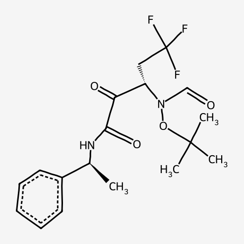 C[C@H](NC(=O)C(=O)[C@H](CC(F)(F)F)N(C=O)OC(C)(C)C)c1ccccc1